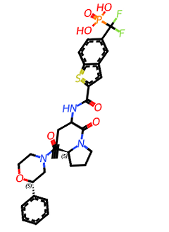 C#CCC(NC(=O)c1cc2cc(C(F)(F)P(=O)(O)O)ccc2s1)C(=O)N1CCC[C@H]1C(=O)N1CCO[C@@H](c2ccccc2)C1